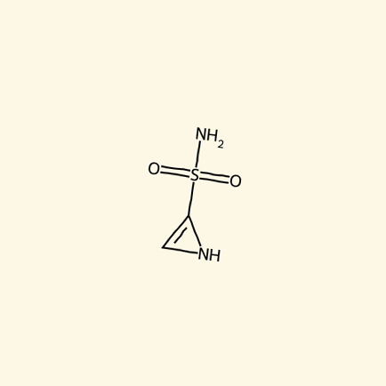 NS(=O)(=O)C1=CN1